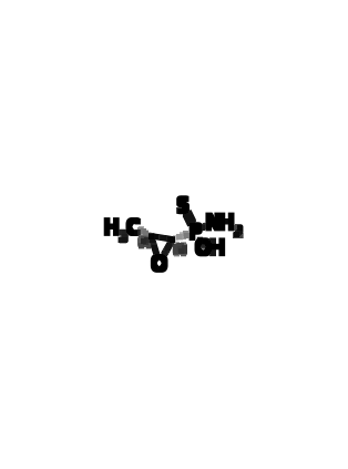 C[C@H]1O[C@H]1P(N)(O)=S